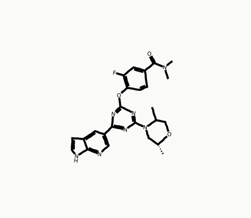 CC1CO[C@H](C)CN1c1nc(Oc2ccc(C(=O)N(C)C)cc2F)nc(-c2cnc3[nH]ccc3c2)n1